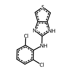 Clc1cccc(Cl)c1Nc1nc2cscc2[nH]1